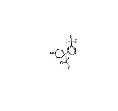 CCC(=O)OC1(c2cccc(C(F)(F)F)c2)CCNCC1